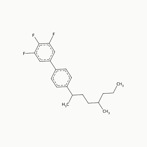 CCCC(C)CCC(C)c1ccc(-c2cc(F)c(F)c(F)c2)cc1